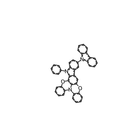 c1ccc(-n2c3ccc(-n4c5ccccc5c5ccccc54)cc3c3cc4c5c(c32)Oc2ccccc2N5c2ccccc2O4)cc1